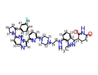 Cn1nc(C2CCC(=O)NC2=O)c2cccc(NCCN3CCN(c4cccc(-c5cnc6ccc(N7CCC[C@@H]7c7cccc(F)c7)nn56)n4)CC3)c21